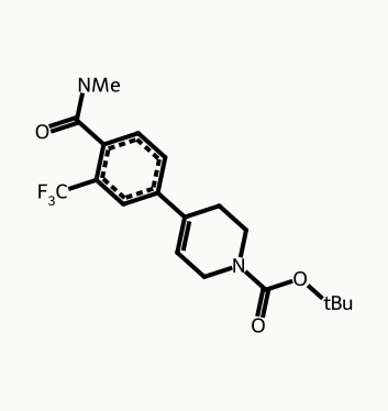 CNC(=O)c1ccc(C2=CCN(C(=O)OC(C)(C)C)CC2)cc1C(F)(F)F